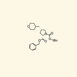 CC(C)(C)OC(=O)N1C[C@@H](CC2CCOCC2)C[C@H]1C(=O)OCc1ccccc1